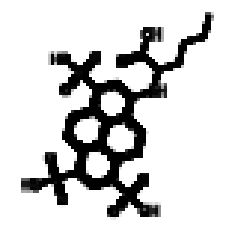 CCCCC(Nc1cc(S(=O)(=O)O)c2ccc3c(S(=O)(=O)O)cc(S(=O)(=O)O)c4ccc1c2c43)C(=O)O